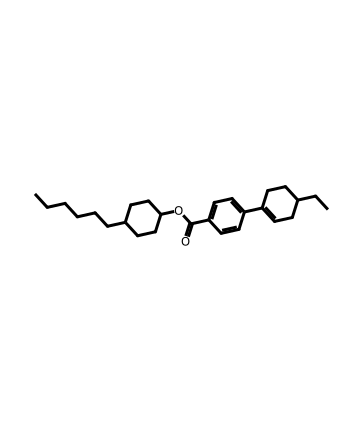 CCCCCCC1CCC(OC(=O)c2ccc(C3=CCC(CC)CC3)cc2)CC1